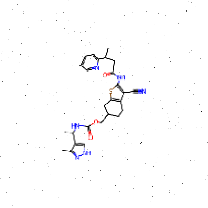 Cc1n[nH]cc1C(C)NC(=O)OCC1CCc2c(sc(NC(=O)CC(C)c3ccccn3)c2C#N)C1